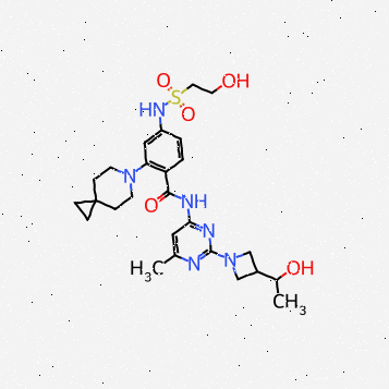 Cc1cc(NC(=O)c2ccc(NS(=O)(=O)CCO)cc2N2CCC3(CC2)CC3)nc(N2CC(C(C)O)C2)n1